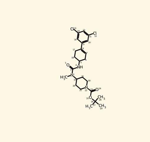 CN(C(=O)NC1CC=C(c2cc(Cl)cc(Cl)c2)CC1)C1CCN(C(=O)OC(C)(C)C)CC1